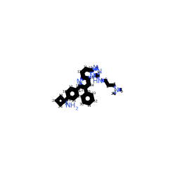 CN(C)CCCNc1nnc2ccc3nc(-c4ccc(C5(N)CCC5)cc4)c(-c4ccccc4)cc3n12